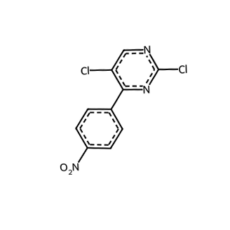 O=[N+]([O-])c1ccc(-c2nc(Cl)ncc2Cl)cc1